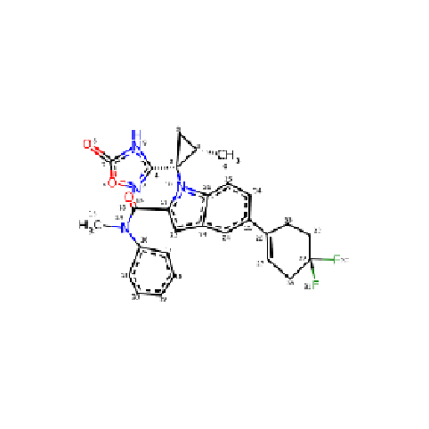 C[C@H]1C[C@]1(c1noc(=O)[nH]1)n1c(C(=O)N(C)c2ccccc2)cc2cc(C3=CCC(F)(F)CC3)ccc21